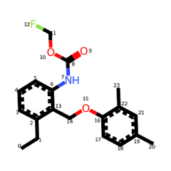 CCc1cccc(NC(=O)OCF)c1COc1ccc(C)cc1C